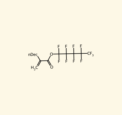 C=C(CCCCCCCCCC)C(=O)OC(F)(F)C(F)(F)C(F)(F)C(F)(F)C(F)(F)F